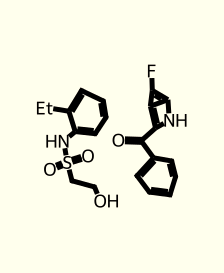 CCc1ccccc1NS(=O)(=O)CCO.O=C(c1ccccc1)c1[nH]c2c(F)c1-2